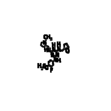 CCN1CCCC1CNC1N=C(Nc2ccc(OC)c(F)c2)N=C(NCc2ccco2)N1